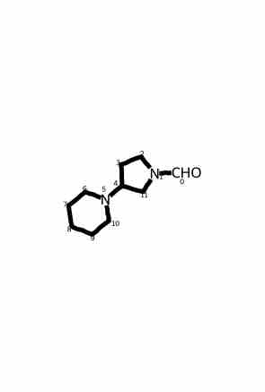 O=CN1CCC(N2CCCCC2)C1